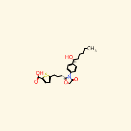 CCCCC[C@@H](O)c1ccc(N2C(=O)CO[C@@H]2CCCc2ccc(C(=O)O)s2)cc1